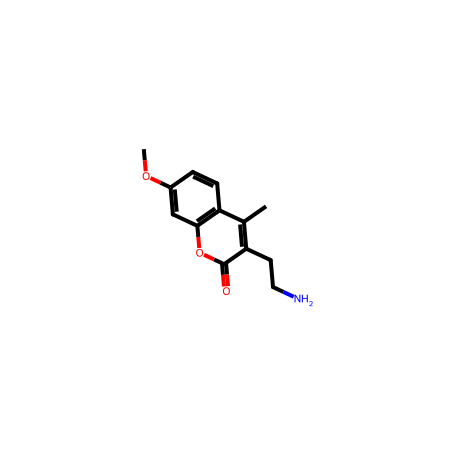 COc1ccc2c(C)c(CCN)c(=O)oc2c1